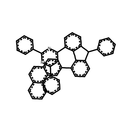 c1ccc(-c2nc(-c3ccccc3)nc(-c3cccc4c3-c3c(-c5ccc6ccc7ccccc7c6c5)cccc3C4c3ccccc3)n2)cc1